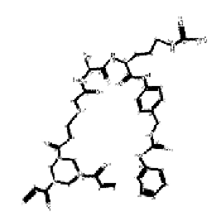 C=CC(=O)N1CN(C(=O)C=C)CN(C(=O)CCSCC(=O)N[C@H](C(=O)N[C@@H](CCCNC(N)=O)C(=O)Nc2ccc(COC(=O)Oc3ccccc3)cc2)C(C)C)C1